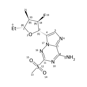 CC[C@H]1O[C@@H](c2cnc3c(N)nc(S(C)(=O)=O)nn23)[C@H](F)[C@@H]1C